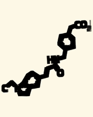 N#CCn1ccc2cc(/C=C/C(=O)NCc3ccc(CC(=O)O)cc3)ccc21